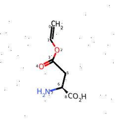 C=COC(=O)C[C@H](N)C(=O)O